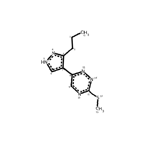 CCCc1n[nH]cc1-c1cnc(SC)nn1